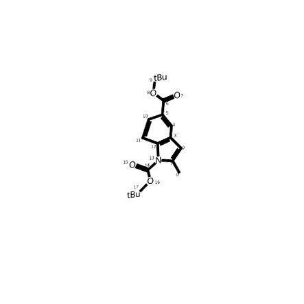 Cc1cc2cc(C(=O)OC(C)(C)C)ccc2n1C(=O)OC(C)(C)C